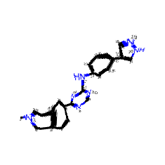 CN1Cc2ccc(-c3ncnc(Nc4ccc(-c5cn[nH]c5)cc4)n3)cc2C1